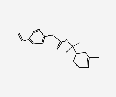 C=Cc1ccc(OC(=O)OC(C)(C)C2CCC=C(C)C2)cc1